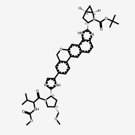 COC[C@H]1C[C@@H](c2ncc(-c3ccc4c(c3)COc3cc5c(ccc6nc([C@@H]7C[C@H]8C[C@H]8N7C(=O)OC(C)(C)C)[nH]c65)cc3-4)[nH]2)N(C(=O)C(NC(=O)OC)C(C)C)C1